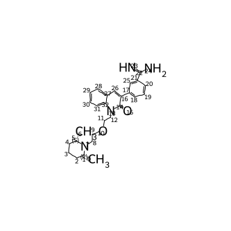 C[C@@H]1CCC[C@H](C)N1CCOCCn1c(=O)c(-c2cccc(C(=N)N)c2)cc2ccccc21